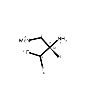 CNC[C@](C)(N)C(F)F